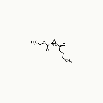 CCCCC(=O)[C@@H]1C[C@H]1C(=O)OCC